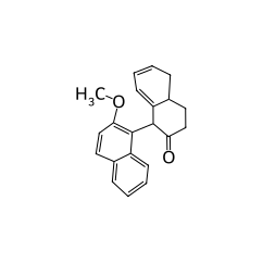 COc1ccc2ccccc2c1C1C(=O)CCC2CC=CC=C21